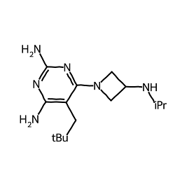 CC(C)NC1CN(c2nc(N)nc(N)c2CC(C)(C)C)C1